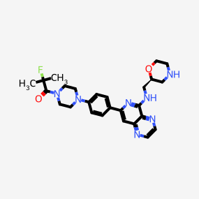 CC(C)(F)C(=O)N1CCN(c2ccc(-c3cc4nccnc4c(NC[C@@H]4CNCCO4)n3)cc2)CC1